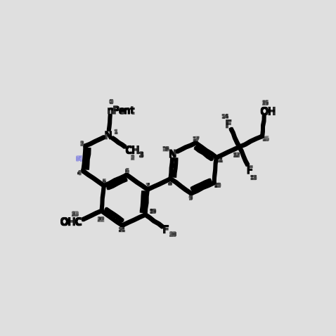 CCCCCN(C)/C=C\c1cc(-c2ccc(C(F)(F)CO)cn2)c(F)cc1C=O